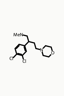 CNCC(CCN1CCOCC1)c1ccc(Cl)c(Cl)c1